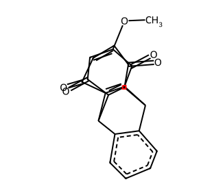 COC1=CC(=O)C2=C(C1=O)C1C3=C(C(=O)C=CC3=O)C2c2ccccc21